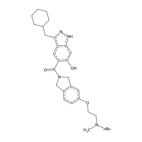 CCCCN(C)CCOc1ccc2c(c1)CN(C(=O)c1cc3c(CC4CCCCC4)n[nH]c3cc1O)C2